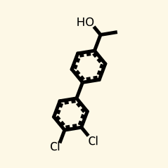 CC(O)c1ccc(-c2ccc(Cl)c(Cl)c2)cc1